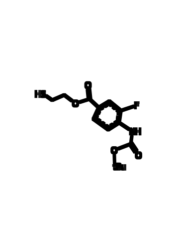 CC(C)(C)OC(=O)Nc1ccc(C(=O)OCCS)cc1F